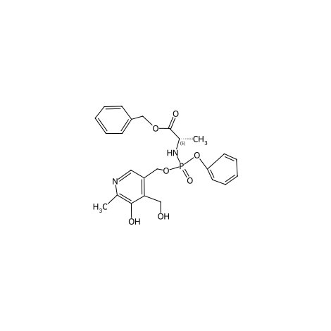 Cc1ncc(COP(=O)(N[C@@H](C)C(=O)OCc2ccccc2)Oc2ccccc2)c(CO)c1O